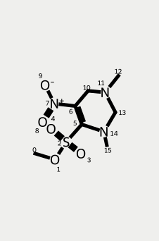 COS(=O)(=O)C1=C([N+](=O)[O-])CN(C)CN1C